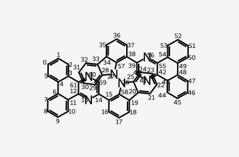 c1ccc2c(c1)c1ccccc1c1nc(-c3cccc4c5ccccc5n(-n5c6ccccc6c6cccc(-c7cnc8c9ccccc9c9ccccc9c8n7)c65)c34)cnc21